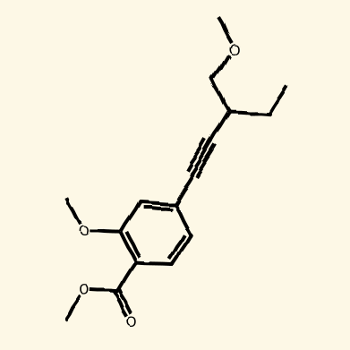 CCC(C#Cc1ccc(C(=O)OC)c(OC)c1)COC